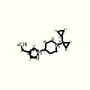 OCc1cnn(C2CCN(C3(C4CC4)CC3)CC2)c1